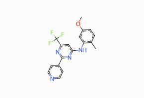 COc1ccc(C)c(Nc2cc(C(F)(F)F)nc(-c3ccncc3)n2)c1